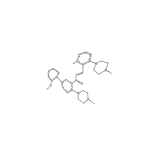 COc1ccccc1-c1ccc(N2CCN(C)CC2)c(C(=O)C=Cc2c(F)cccc2N2CCN(C)CC2)c1